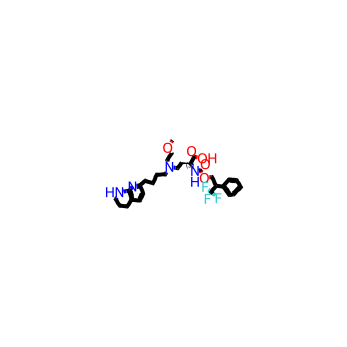 COCCN(CCCCc1ccc2c(n1)NCCC2)CC[C@H](NC(=O)OCC(c1ccccc1)C(F)(F)F)C(=O)O